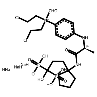 C[C@H](Nc1ccc([N+](C=O)(CCCl)CCCl)cc1)C(=O)NC1(CCC(O)(P(=O)(O)O)P(=O)(O)O)CCCC1.[NaH].[NaH].[NaH]